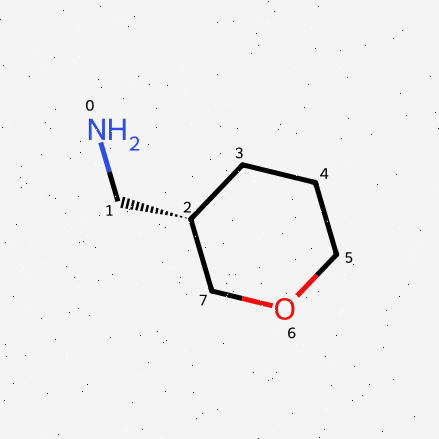 NC[C@@H]1CCCOC1